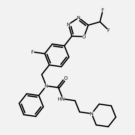 O=C(NCCN1CCCCC1)N(Cc1ccc(-c2nnc(C(F)F)o2)cc1F)c1ccccc1